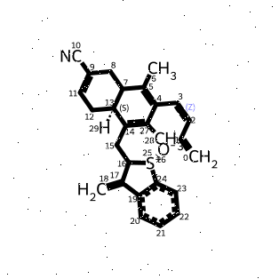 C=C/C=C\C1=C(C)C2CC(C#N)=CC[C@@H]2C(CC2C(=C)c3ccccc3[S+]2[O-])=C1C